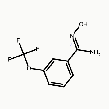 N/C(=N\O)c1cccc(OC(F)(F)F)c1